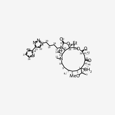 B[C@@]1(C(C)OC)CC[C@H](C)CCN(C)[C@@H](C)[C@H]2N(CCCCn3cc(-c4nccs4)nn3)C(=O)O[C@]2(C)[C@@H](CC)OC(=O)[C@H](C)C(=O)[C@@H]1C